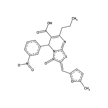 CCCC1=C(C(=O)O)C(c2cccc([N+](=O)[O-])c2)n2c(sc(=Cc3ccc(C)o3)c2=O)=N1